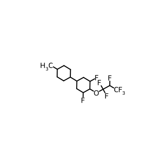 CC1CCC(C2CC(F)C(OC(F)(F)C(F)C(F)(F)F)C(F)C2)CC1